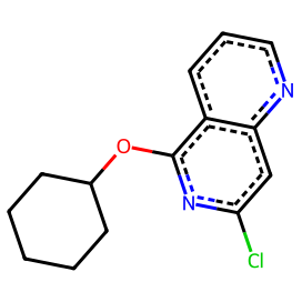 Clc1cc2ncccc2c(OC2CCCCC2)n1